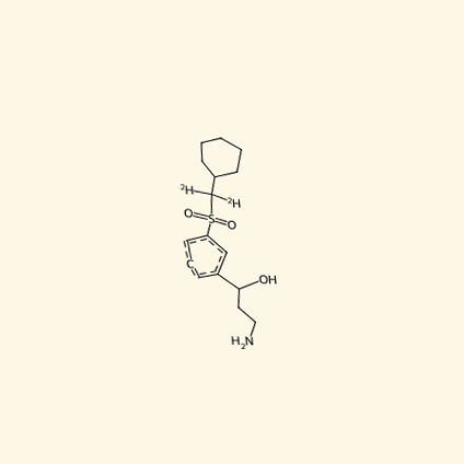 [2H]C([2H])(C1CCCCC1)S(=O)(=O)c1cccc(C(O)CCN)c1